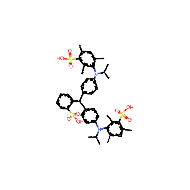 Cc1cc(C)c(S(=O)(=O)O)c(C)c1N(c1ccc(C(c2ccc(N(c3c(C)cc(C)c(S(=O)(=O)O)c3C)C(C)C)cc2)c2ccccc2S(=O)(=O)O)cc1)C(C)C